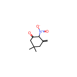 C=C1CC(C)(C)CC(=O)C1[N+](=O)[O-]